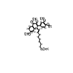 CCCCCCCCCCCCCCCCC=Cn1c(-c2ccc(OCC)c(OCC)c2)c(OCC)c(=O)c2ccc(OCC)cc21